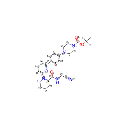 CC(C)(C)OC(=O)N1CCN(c2ccc(-c3cccc(N4CCCCC4C(=O)NCC#N)n3)cc2)CC1